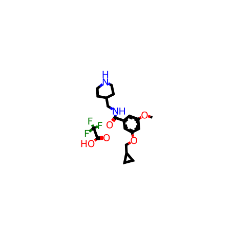 COc1cc(OCC2CC2)cc(C(=O)NCC2CCNCC2)c1.O=C(O)C(F)(F)F